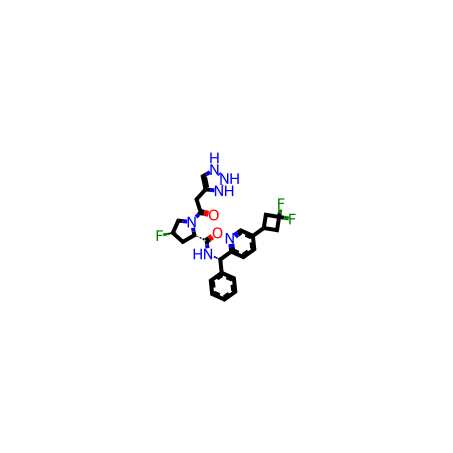 O=C(N[C@@H](c1ccccc1)c1ccc(C2CC(F)(F)C2)cn1)[C@@H]1C[C@@H](F)CN1C(=O)CC1=CNNN1